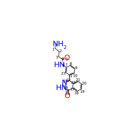 NCCCC(=O)Nc1cccc(-c2n[nH]c(=O)c3ccccc23)c1